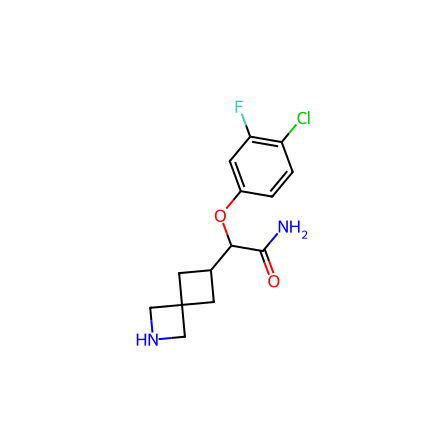 NC(=O)C(Oc1ccc(Cl)c(F)c1)C1CC2(CNC2)C1